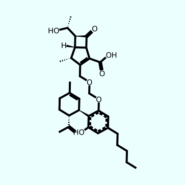 C=C(C)[C@@H]1CCC(C)=C[C@H]1c1c(O)cc(CCCCC)cc1OCOCC1=C(C(=O)O)C2C(=O)[C@H]([C@@H](C)O)[C@H]2[C@H]1C